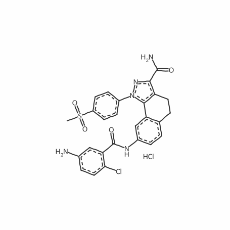 CS(=O)(=O)c1ccc(-n2nc(C(N)=O)c3c2-c2cc(NC(=O)c4cc(N)ccc4Cl)ccc2CC3)cc1.Cl